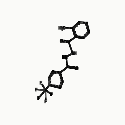 Cc1ccccc1C(=O)NNC(=O)c1ccc(S(F)(F)(F)(F)F)cc1